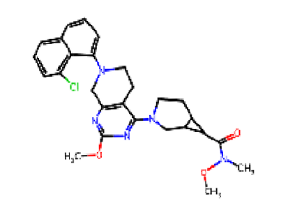 COc1nc2c(c(N3CCC4C(C3)C4C(=O)N(C)OC)n1)CCN(c1cccc3cccc(Cl)c13)C2